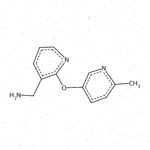 Cc1ccc(Oc2ncccc2CN)cn1